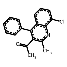 CC(=O)c1c(C)nc2c(Cl)cccc2c1-c1ccccc1